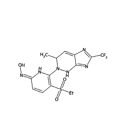 CCS(=O)(=O)c1ccc(=NO)[nH]c1N1NC2=NC(C(F)(F)F)=NC2=CC1C